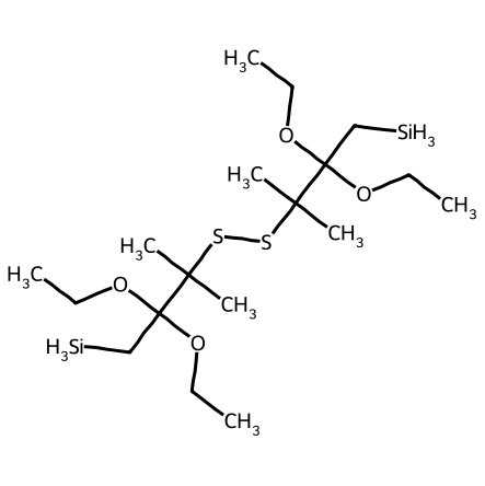 CCOC(C[SiH3])(OCC)C(C)(C)SSC(C)(C)C(C[SiH3])(OCC)OCC